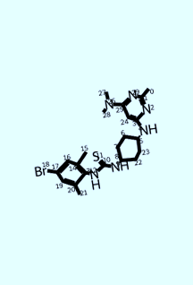 Cc1nc(N[C@H]2CC[C@@H](NC(=S)Nc3c(C)cc(Br)cc3C)CC2)cc(N(C)C)n1